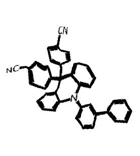 N#Cc1ccc(C2(c3ccc(C#N)cc3)c3ccccc3N(c3cccc(-c4ccccc4)c3)c3ccccc32)cc1